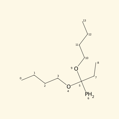 CCCCOC(P)(CC)OCCCC